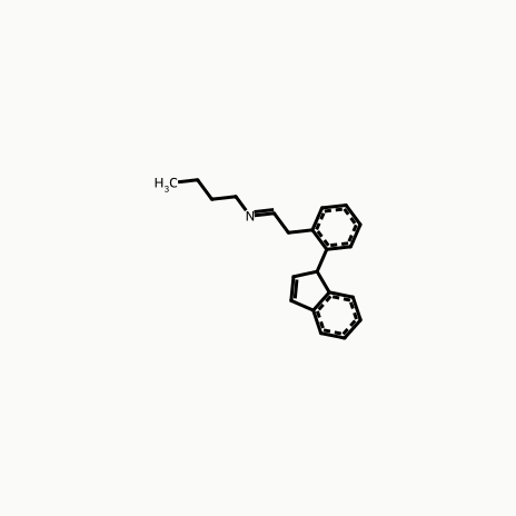 CCCCN=CCc1ccccc1C1C=Cc2ccccc21